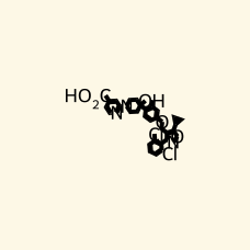 Cc1cc(OCc2c(-c3c(Cl)cccc3Cl)noc2C2CC2)ccc1C1(O)CCN(c2cc(C(=O)O)ccn2)CC1